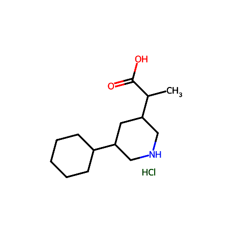 CC(C(=O)O)C1CNCC(C2CCCCC2)C1.Cl